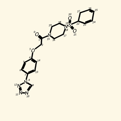 O=C(COc1ccc(-n2cnnn2)cc1)N1CCN(S(=O)(=O)C2C=CC=CC2)CC1